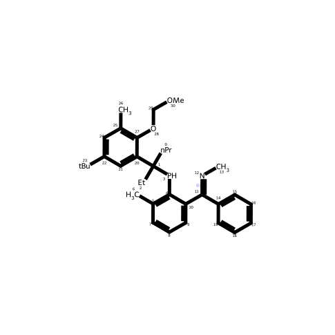 CCCC(CC)(Pc1c(C)cccc1/C(=N/C)c1ccccc1)c1cc(C(C)(C)C)cc(C)c1OCOC